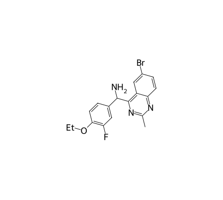 CCOc1ccc(C(N)c2nc(C)nc3ccc(Br)cc23)cc1F